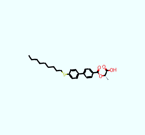 CCCCCCCCCSc1ccc(-c2ccc(C(=O)O[C@@H](C)C(=O)O)cc2)cc1